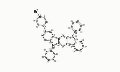 Brc1ccc(-c2ccc3c(c2)c2cc4c(cc2n3-c2ccccc2)c2ccccc2n4-c2ccccc2)cc1